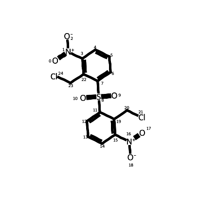 O=[N+]([O-])c1cccc(S(=O)(=O)c2cccc([N+](=O)[O-])c2CCl)c1CCl